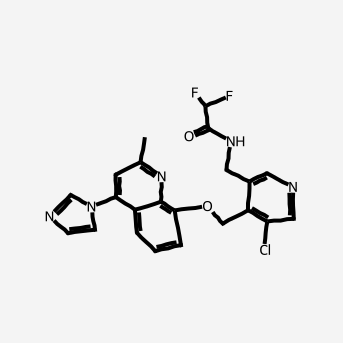 Cc1cc(-n2ccnc2)c2cccc(OCc3c(Cl)cncc3CNC(=O)C(F)F)c2n1